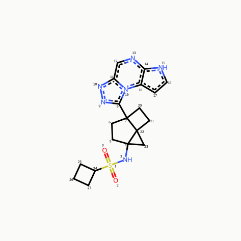 O=S(=O)(NC12CCC3(c4nnc5cnc6[nH]ccc6n45)CCC13C2)C1CCC1